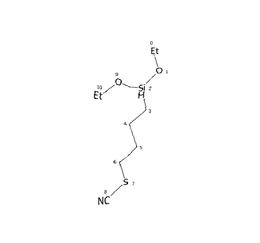 CCO[SiH](CCCCSC#N)OCC